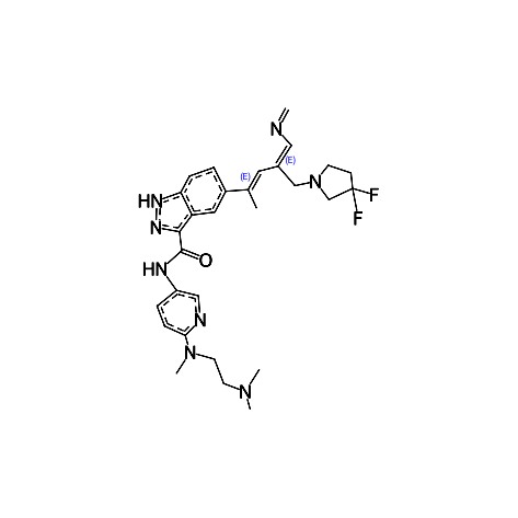 C=N/C=C(\C=C(/C)c1ccc2[nH]nc(C(=O)Nc3ccc(N(C)CCN(C)C)nc3)c2c1)CN1CCC(F)(F)C1